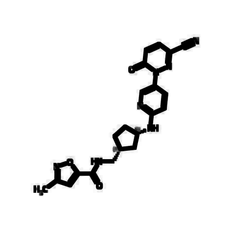 Cc1cc(C(=O)NC[C@@H]2CC[C@H](Nc3ccc(-n4nc(C#N)ccc4=O)cn3)C2)on1